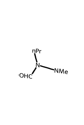 CCCN([C]=O)NC